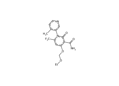 CCOCOc1cc(C(F)(F)F)n(-c2cnccc2C)c(=O)c1C(N)=O